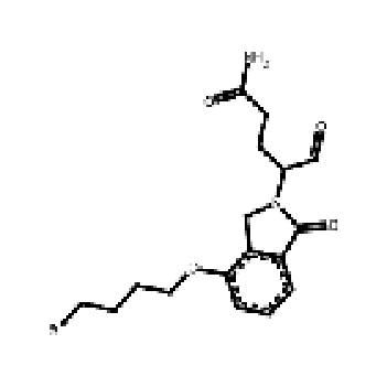 NC(=O)CCC(C=O)N1Cc2c(OCCCCBr)cccc2C1=O